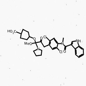 COC(OC1CCC(C(=O)O)CC1)(C(=O)Cc1cc(Cl)c(N(C)C(=O)c2c[nH]c3ccccc23)cc1Cl)N1CCCC1